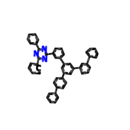 c1ccc(-c2ccc(-c3cc(-c4cccc(-c5ccccc5)c4)cc(-c4cccc(-c5nc(-c6ccccc6)nc(-c6ccccc6)n5)c4)c3)cc2)cc1